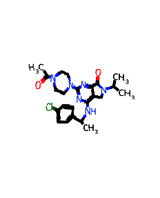 CC(=O)N1CCN(c2nc(NC(C)c3ccc(Cl)cc3)c3c(n2)C(=O)N(C(C)C)C3)CC1